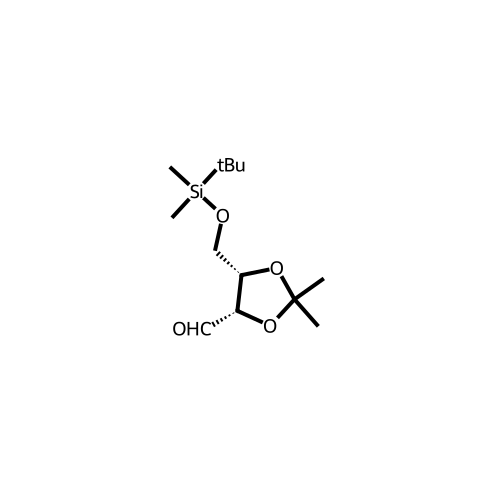 CC1(C)O[C@@H](CO[Si](C)(C)C(C)(C)C)[C@@H](C=O)O1